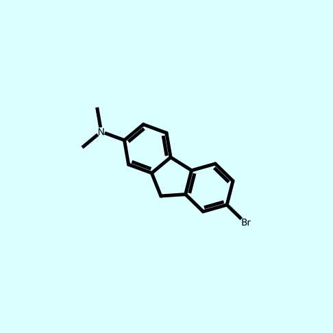 CN(C)c1ccc2c(c1)Cc1cc(Br)ccc1-2